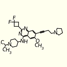 COc1cc2c(NC3CCN(C(C)C)CC3)nc(C3CC(F)(F)C3)nc2cc1C#CCCN1CCCC1